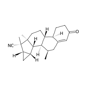 C[C@@H]1CC2=CC(=O)CC[C@@H]2[C@H]2CC[C@@]3(C)[C@@H]([C@@H]4C[C@@H]4[C@]3(C)C#N)[C@@H]21